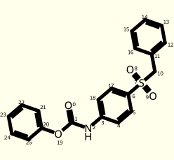 O=C(Nc1ccc(S(=O)(=O)Cc2ccccc2)cc1)Oc1ccccc1